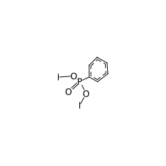 O=P(OI)(OI)c1ccccc1